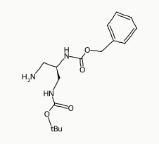 CC(C)(C)OC(=O)NC[C@@H](CN)NC(=O)OCc1ccccc1